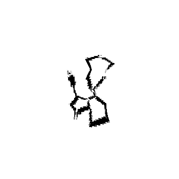 N#Cc1cnc2cccc(N3CCOCC3)n12